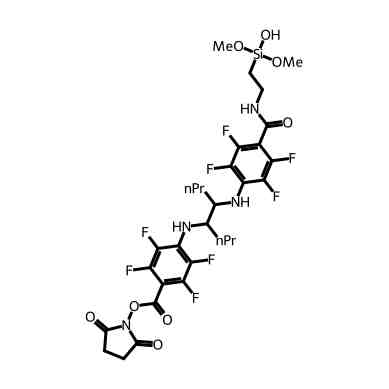 CCCC(Nc1c(F)c(F)c(C(=O)NCC[Si](O)(OC)OC)c(F)c1F)C(CCC)Nc1c(F)c(F)c(C(=O)ON2C(=O)CCC2=O)c(F)c1F